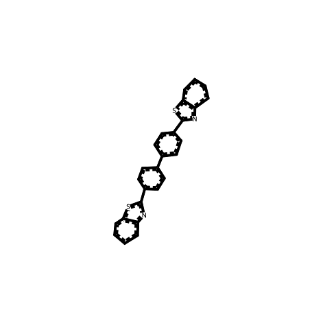 c1ccc2sc(-c3ccc(-c4ccc(-c5nc6ccccc6s5)cc4)cc3)nc2c1